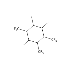 CC1C(C)C(C(F)(F)F)C(C(F)(F)F)C(C)C1C(F)(F)F